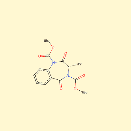 CC(C)[C@H]1C(=O)N(C(=O)OC(C)(C)C)c2ccccc2C(=O)N1C(=O)OC(C)(C)C